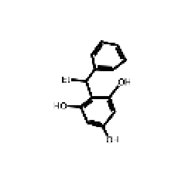 CCC(c1ccccc1)c1c(O)cc(O)cc1O